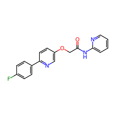 O=C(COc1ccc(-c2ccc(F)cc2)nc1)Nc1ccccn1